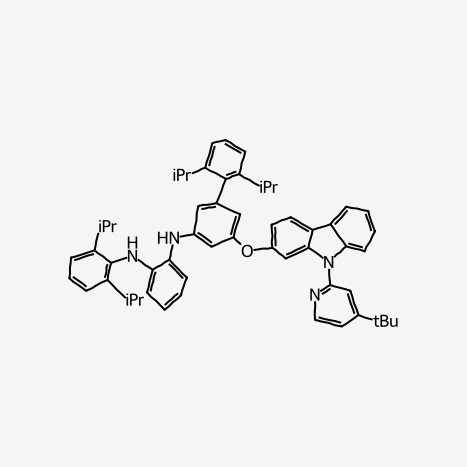 CC(C)c1cccc(C(C)C)c1Nc1ccccc1Nc1cc(Oc2ccc3c4ccccc4n(-c4cc(C(C)(C)C)ccn4)c3c2)cc(-c2c(C(C)C)cccc2C(C)C)c1